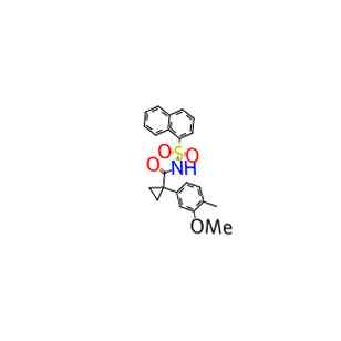 COc1cc(C2(C(=O)NS(=O)(=O)c3cccc4ccccc34)CC2)ccc1C